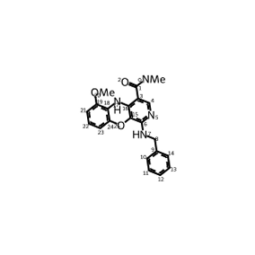 CNC(=O)c1cnc(NCc2ccccc2)c2c1Nc1c(OC)cccc1O2